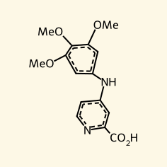 COc1cc(Nc2ccnc(C(=O)O)c2)cc(OC)c1OC